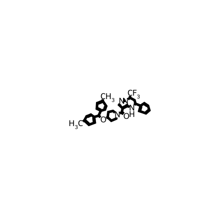 Cc1ccc(C(OC2CCN(C(=O)c3cnn4c3NC(c3ccccc3)CC4C(F)(F)F)CC2)c2ccc(C)cc2)cc1